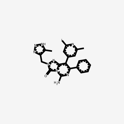 Cc1cc(-c2c(-c3ccccc3)nc(N)n3c(=O)n(Cc4nn[nH]c4C)nc23)cc(I)n1